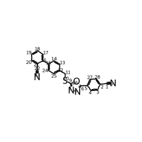 N#Cc1ccc(-c2nnc(SCc3ccc(-c4ccccc4C#N)cc3)o2)cc1